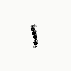 CCCCOC1CCC(c2ccc(-c3ccc(CCc4ccc(OCC)cc4F)cc3)c(F)c2F)CC1